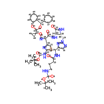 CC(C)(C)OC(=O)NCCCC(=O)NCc1cnn(C[C@H]2NC(=O)[C@H]2NC(=O)C(=NOC2(C(=O)OC(c3ccccc3)c3ccccc3)CC2)c2csc(NC(=O)OC(C)(C)C)n2)n1